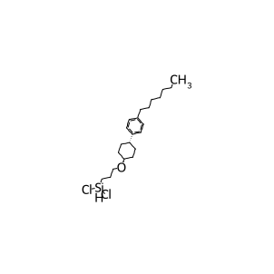 CCCCCCCc1ccc([C@H]2CC[C@H](OCCC[SiH](Cl)Cl)CC2)cc1